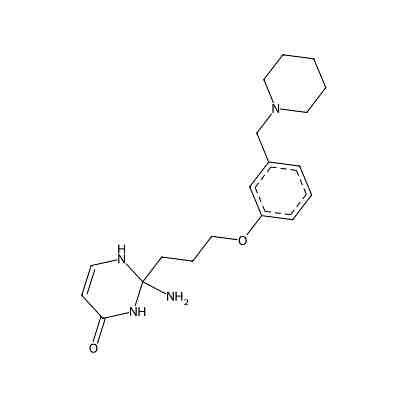 NC1(CCCOc2cccc(CN3CCCCC3)c2)NC=CC(=O)N1